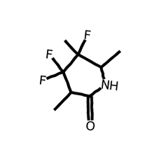 CC1NC(=O)C(C)C(F)(F)C1(C)F